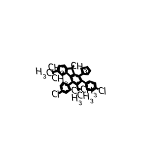 CC1c2ccc(C(C)(C)C)cc2-c2c(-c3ccc(Cl)cc3)c(C(C)(C)C)c(-c3ccc(Cl)cc3)c(C3=CC=CC3)c21